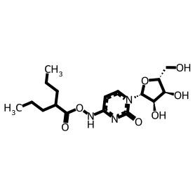 CCCC(CCC)C(=O)ONc1ccn([C@@H]2O[C@H](CO)[C@@H](O)[C@H]2O)c(=O)n1